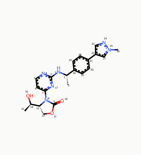 C[C@H](Nc1nccc(N2C(=O)OC[C@@H]2[C@@H](C)O)n1)c1ccc(-c2cnn(C)c2)cc1